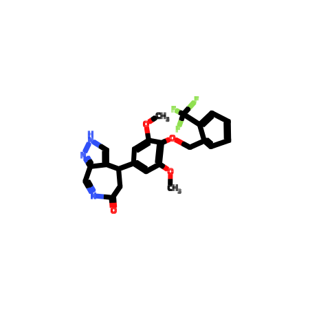 COc1cc(C2CC(=O)N=Cc3n[nH]cc32)cc(OC)c1OCc1ccccc1C(F)(F)F